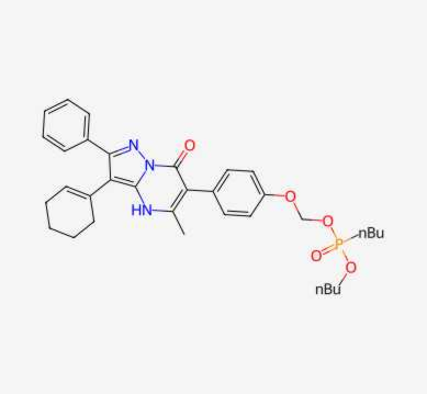 CCCCOP(=O)(CCCC)OCOc1ccc(-c2c(C)[nH]c3c(C4=CCCCC4)c(-c4ccccc4)nn3c2=O)cc1